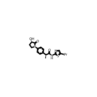 CC(C)c1cnc(NC(=O)[C@@H](C)c2ccc(N3CC[C@H](O)C3=O)cc2)s1